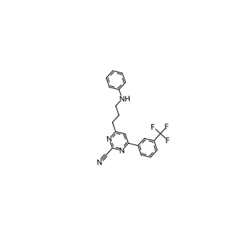 N#Cc1nc(CCCNc2ccccc2)cc(-c2cccc(C(F)(F)F)c2)n1